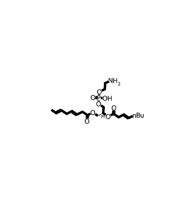 CC=CCC=CCC(=O)OC[C@H](COP(=O)(O)OCCN)OC(=O)CC=CCCCC